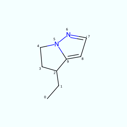 CCC1CCn2n[c]cc21